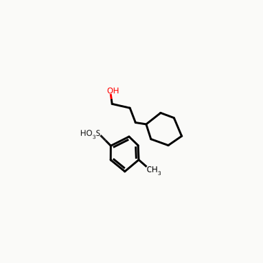 Cc1ccc(S(=O)(=O)O)cc1.OCCCC1CCCCC1